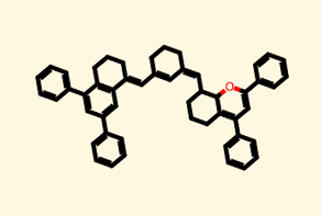 C1=C(/C=C2\CCCc3c2cc(-c2ccccc2)cc3-c2ccccc2)CCC/C1=C/C1CCCC2=C(c3ccccc3)C=C(c3ccccc3)OC21